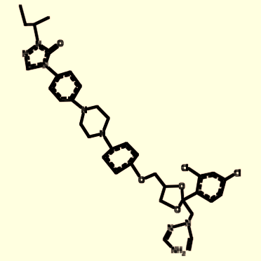 C=CN(CC1(c2ccc(Cl)cc2Cl)OCC(COc2ccc(N3CCN(c4ccc(-n5cnn(C(C)CC)c5=O)cc4)CC3)cc2)O1)/N=C\N